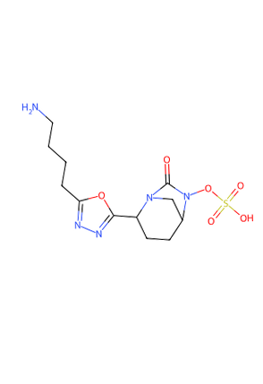 NCCCCc1nnc(C2CCC3CN2C(=O)N3OS(=O)(=O)O)o1